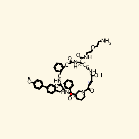 COc1ccc(-c2ccc(C[C@@H]3NC(=O)[C@]4(Cc5ccccc5)CCCN(C4)C(=O)/C=C/C(O)NCC[C@@H](C(=O)NCCOCCN)NC(=O)Cc4ccccc4CNC3=O)cc2)cc1